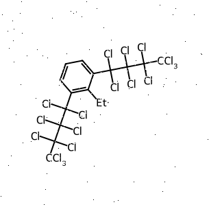 C[CH]c1c(C(Cl)(Cl)C(Cl)(Cl)C(Cl)(Cl)C(Cl)(Cl)Cl)cccc1C(Cl)(Cl)C(Cl)(Cl)C(Cl)(Cl)C(Cl)(Cl)Cl